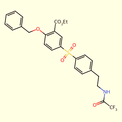 CCOC(=O)c1cc(S(=O)(=O)c2ccc(CCNC(=O)C(F)(F)F)cc2)ccc1OCc1ccccc1